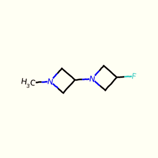 CN1CC(N2CC(F)C2)C1